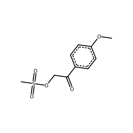 COc1ccc(C(=O)COS(C)(=O)=O)cc1